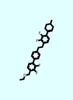 CCOCc1ccc(-c2ccc(CCc3ccc(C4=CCC(C)CC4)c(F)c3F)cc2)c(F)c1F